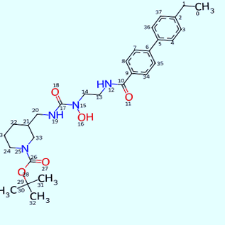 CCc1ccc(-c2ccc(C(=O)NCCN(O)C(=O)NCC3CCCN(C(=O)OC(C)(C)C)C3)cc2)cc1